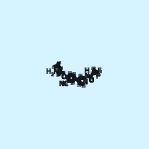 C=C(C)CC(C)(N)COc1ccc(-c2ccnc(NC(=O)[C@H]3CC3(F)F)c2)cc1C#N